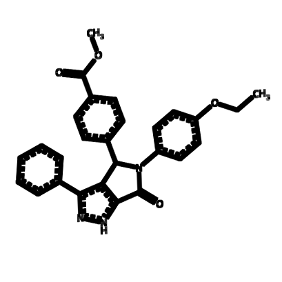 CCOc1ccc(N2C(=O)c3[nH]nc(-c4ccccc4)c3C2c2ccc(C(=O)OC)cc2)cc1